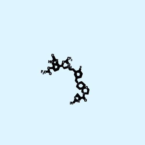 CC(C)c1nc(C(=O)N2CCOC3(CCN(Cc4ccc(F)c(CCNC[C@H](OC(=O)C(F)(F)F)c5ccc(OC(=O)C(F)(F)F)c6[nH]c(=O)sc56)c4)CC3)C2)cs1